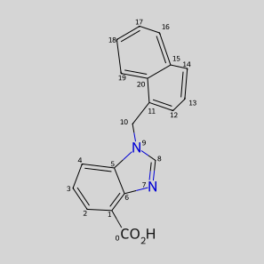 O=C(O)c1cccc2c1ncn2Cc1cccc2ccccc12